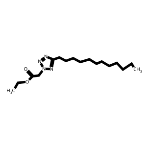 CCCCCCCCCCCCc1nnn(CC(=O)OCC)n1